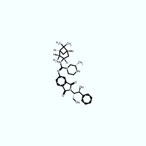 C[C@H]1[C@@H](NC(=Nc2ccc3c(c2)C(=O)N([C@@H](CO)[C@@H](O)c2ccccc2)C3=O)N2CCN[C@@H](C)C2)C[C@@H]2C[C@@H]1C2(C)C